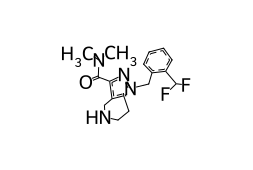 CN(C)C(=O)c1nn(Cc2ccccc2C(F)F)c2c1CNCC2